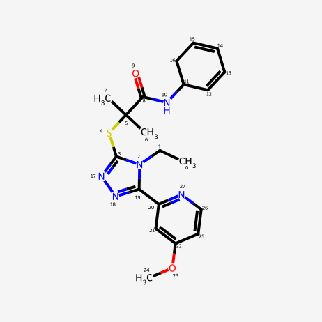 CCn1c(SC(C)(C)C(=O)NC2C=CC=CC2)nnc1-c1cc(OC)ccn1